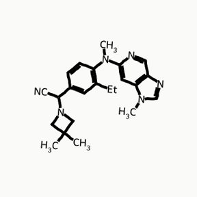 CCc1cc(C(C#N)N2CC(C)(C)C2)ccc1N(C)c1cc2c(cn1)ncn2C